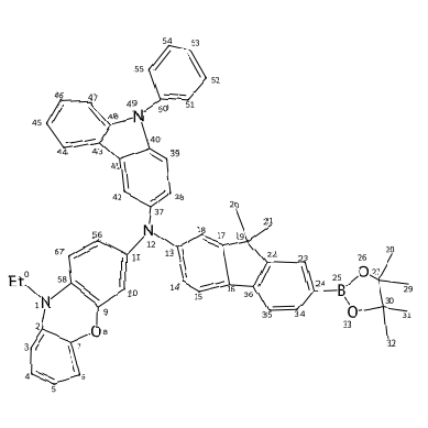 CCN1c2ccccc2Oc2cc(N(c3ccc4c(c3)C(C)(C)c3cc(B5OC(C)(C)C(C)(C)O5)ccc3-4)c3ccc4c(c3)c3ccccc3n4-c3ccccc3)ccc21